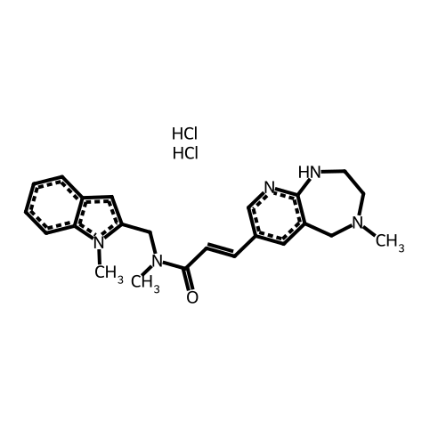 CN1CCNc2ncc(C=CC(=O)N(C)Cc3cc4ccccc4n3C)cc2C1.Cl.Cl